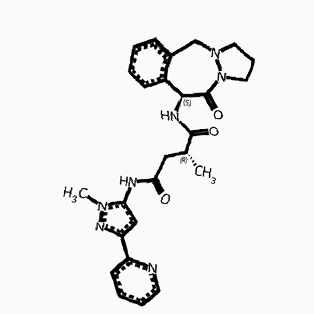 C[C@H](CC(=O)Nc1cc(-c2ccccn2)nn1C)C(=O)N[C@@H]1C(=O)N2CCCN2Cc2ccccc21